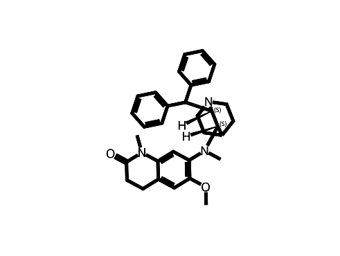 COc1cc2c(cc1N(C)[C@H]1C3CCN(CC3)[C@H]1C(c1ccccc1)c1ccccc1)N(C)C(=O)CC2